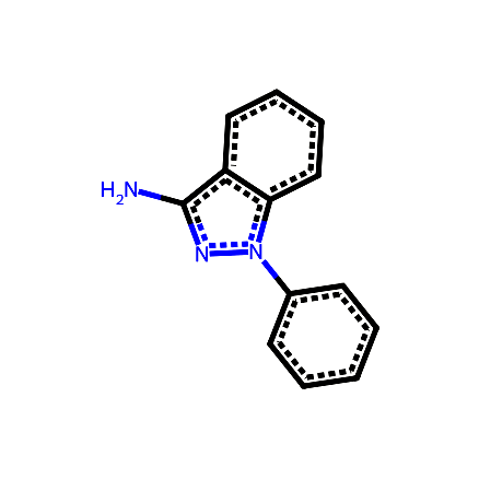 Nc1nn(-c2ccccc2)c2ccccc12